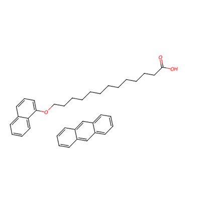 O=C(O)CCCCCCCCCCCCOc1cccc2ccccc12.c1ccc2cc3ccccc3cc2c1